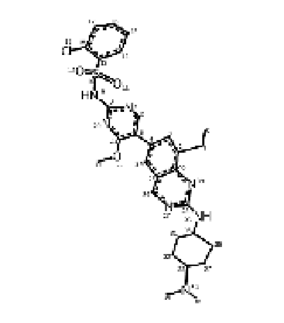 CCc1cc(-c2cnc(NS(=O)(=O)c3ccccc3Cl)nc2OC)cc2cnc(NC3CCC(N(C)C)CC3)nc12